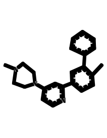 Cc1ccc(-c2cc(N3CCN(C)CC3)ccn2)cc1-c1ccccc1